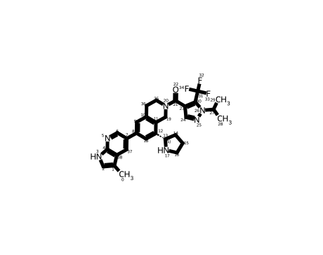 Cc1c[nH]c2ncc(-c3cc4c(c([C@@H]5CCCN5)c3)CN(C(=O)c3cnn(C(C)C)c3C(F)(F)F)CC4)cc12